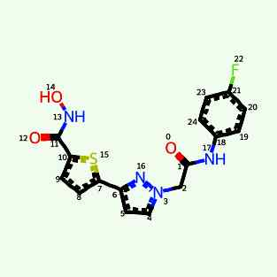 O=C(Cn1ccc(-c2ccc(C(=O)NO)s2)n1)Nc1ccc(F)cc1